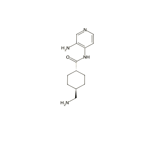 NC[C@H]1CC[C@H](C(=O)Nc2ccncc2N)CC1